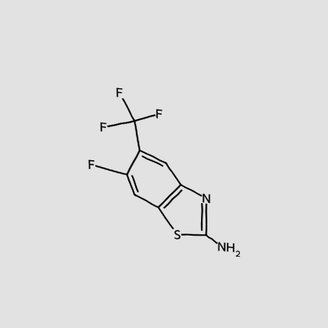 Nc1nc2cc(C(F)(F)F)c(F)cc2s1